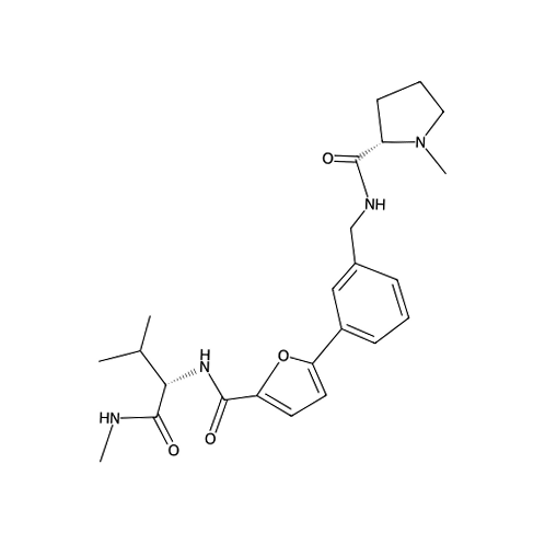 CNC(=O)[C@@H](NC(=O)c1ccc(-c2cccc(CNC(=O)[C@@H]3CCCN3C)c2)o1)C(C)C